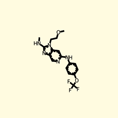 CNc1nc2cnc(Nc3ccc(OC(F)(F)F)cc3)cc2n1CCOC